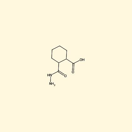 NNC(=O)C1CCCCC1C(=O)O